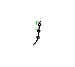 CCCCCCCc1ccc(C#Cc2ccc(C#Cc3ccc(CC)c(F)c3)c(F)c2)cc1